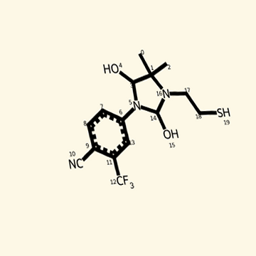 CC1(C)C(O)N(c2ccc(C#N)c(C(F)(F)F)c2)C(O)N1CCS